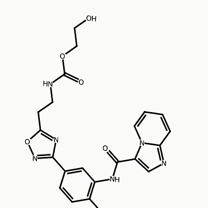 Cc1ccc(-c2noc(CCNC(=O)OCCO)n2)cc1NC(=O)c1cnc2ccccn12